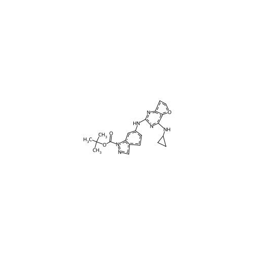 CC(C)(C)OC(=O)n1ncc2ccc(Nc3nc(NC4CC4)c4occc4n3)cc21